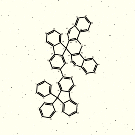 c1ccc(C2(c3ccccc3)c3ccccc3-c3ccc(-c4ccc5c(c4)C4(c6ccccc6-5)c5ccc6ccccc6c5Oc5c4ccc4ccccc54)cc32)cc1